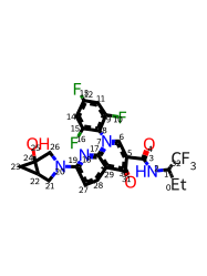 CCC(NC(=O)c1cn(-c2c(F)cc(F)cc2F)c2nc(N3CC4CC4(O)C3)ccc2c1=O)C(F)(F)F